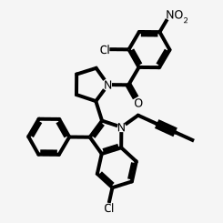 CC#CCn1c(C2CCCN2C(=O)c2ccc([N+](=O)[O-])cc2Cl)c(-c2ccccc2)c2cc(Cl)ccc21